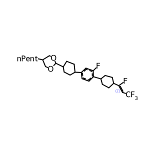 CCCCCC1COC(C2CCC(c3ccc(C4CCC(/C(F)=C/C(F)(F)F)CC4)c(F)c3)CC2)OC1